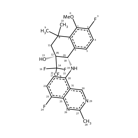 COc1c(F)ccc2c1C(C)(C)C[C@](O)(C(F)(F)C(F)(F)F)[C@H]2Nc1ccc(F)c2nc(C)ncc12